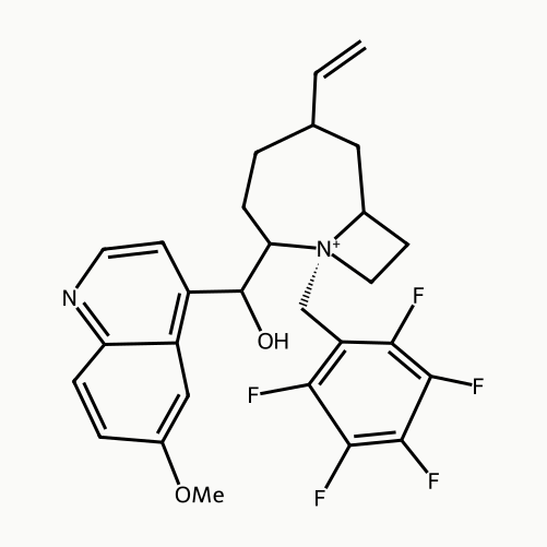 C=CC1CCC(C(O)c2ccnc3ccc(OC)cc23)[N@+]2(Cc3c(F)c(F)c(F)c(F)c3F)CCC2C1